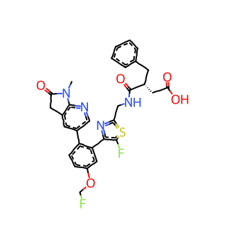 CN1C(=O)Cc2cc(-c3ccc(OCF)cc3-c3nc(CNC(=O)[C@@H](CC(=O)O)Cc4ccccc4)sc3F)cnc21